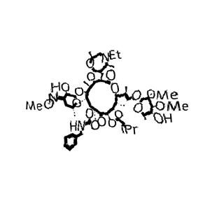 CCN1C[C@H](C)O[C@@H](O[C@H]2[C@H](C)[C@@H](O[C@@H]3O[C@H](C)CC(=NOC)[C@H]3O)[C@@H](C)C[C@](C)(OC(=O)NCc3ccccc3)C(=O)[C@H](C)[C@H](OC(=O)CC(C)C)[C@@H](C)[C@@H]([C@@H](C)CO[C@@H]3O[C@H](C)[C@@H](O)[C@@H](OC)[C@H]3OC)OC(=O)[C@@H]2C)C[C@@H]1C